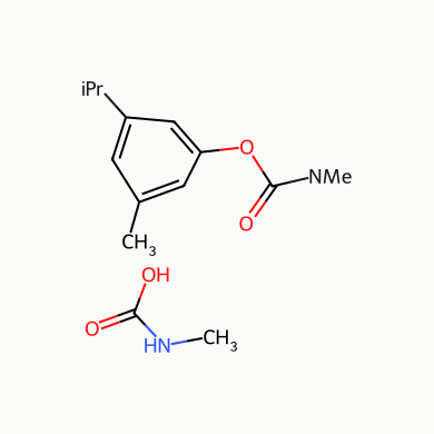 CNC(=O)O.CNC(=O)Oc1cc(C)cc(C(C)C)c1